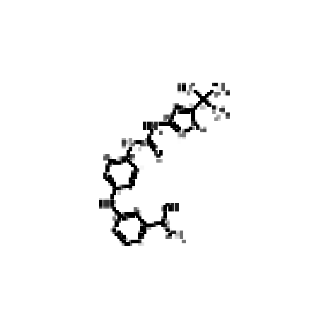 CC(O)c1cccc(Nc2ccc(NC(=O)Nc3cc(C(C)(C)C)on3)cc2)c1